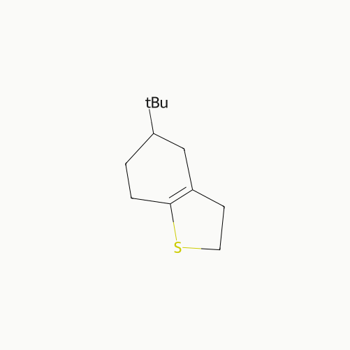 CC(C)(C)C1CCC2=C(CCS2)C1